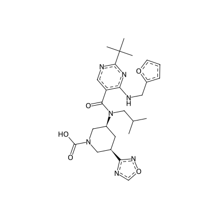 CC(C)CN(C(=O)c1cnc(C(C)(C)C)nc1NCc1ccco1)[C@H]1C[C@@H](c2ncon2)CN(C(=O)O)C1